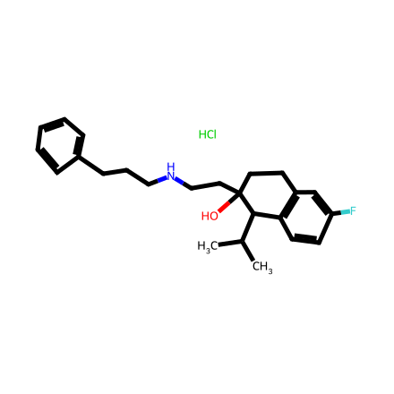 CC(C)C1c2ccc(F)cc2CCC1(O)CCNCCCc1ccccc1.Cl